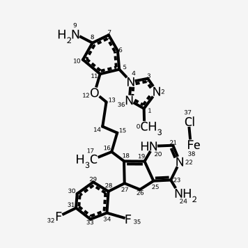 Cc1ncn(-c2ccc(N)cc2OCCCC(C)C2=C3NC=NC(N)=C3CC2c2ccc(F)cc2F)n1.[Cl][Fe]